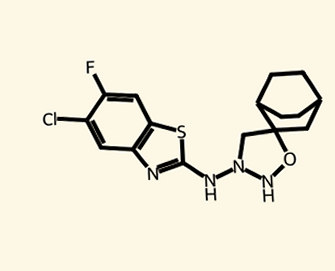 Fc1cc2sc(NN3CC4(CC5CCC4CC5)ON3)nc2cc1Cl